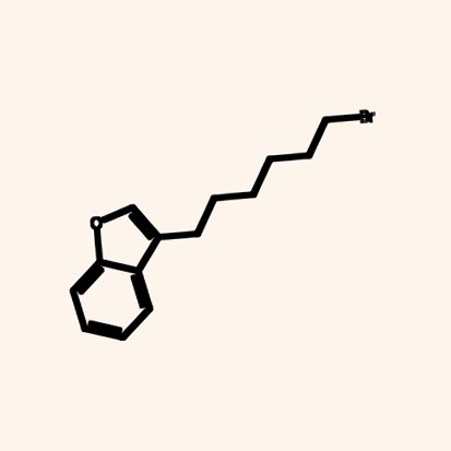 BrCCCCCCc1coc2ccccc12